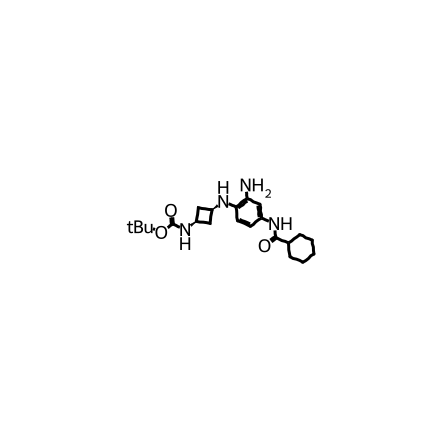 CC(C)(C)OC(=O)N[C@H]1C[C@@H](Nc2ccc(NC(=O)C3CCCCC3)cc2N)C1